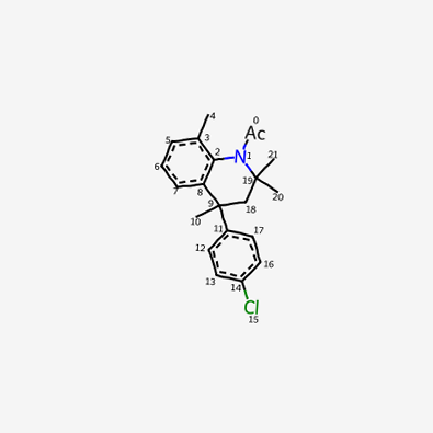 CC(=O)N1c2c(C)cccc2C(C)(c2ccc(Cl)cc2)CC1(C)C